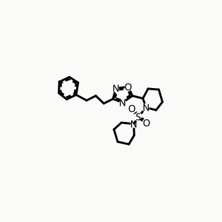 O=S(=O)(N1CCCCC1)N1CCCCC1c1nc(CCCc2ccccc2)no1